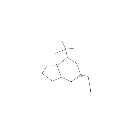 CC(C)(C)C1CN(CI)CC2CCCN21